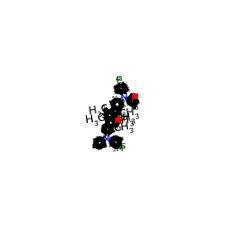 Cc1c(C)c2c(c3c1-c1ccc(N(c4ccccc4)c4ccc(F)cc4)cc1C3(C)C)C(C)(C)C1C=C(N(c3ccccc3)c3ccc(F)cc3)C=CC21